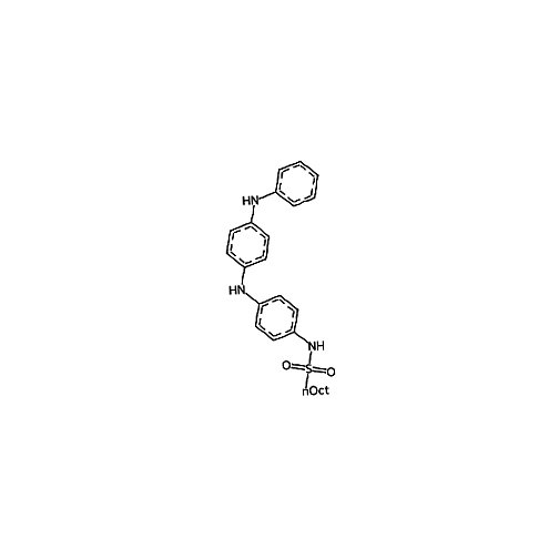 CCCCCCCCS(=O)(=O)Nc1ccc(Nc2ccc(Nc3ccccc3)cc2)cc1